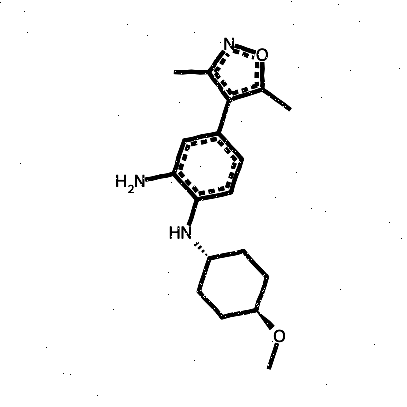 CO[C@H]1CC[C@H](Nc2ccc(-c3c(C)noc3C)cc2N)CC1